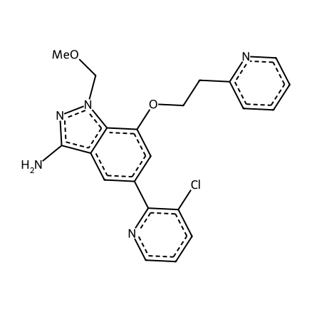 COCn1nc(N)c2cc(-c3ncccc3Cl)cc(OCCc3ccccn3)c21